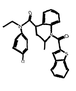 CCN(C(=O)C1CC(C)N(C(=O)c2cc3ccccc3s2)c2ccccc21)c1ccc(Cl)cc1